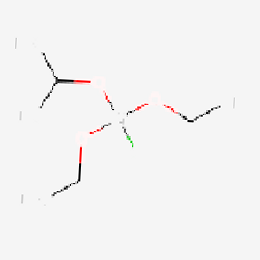 CCO[Si](Cl)(OCC)OC(C)C